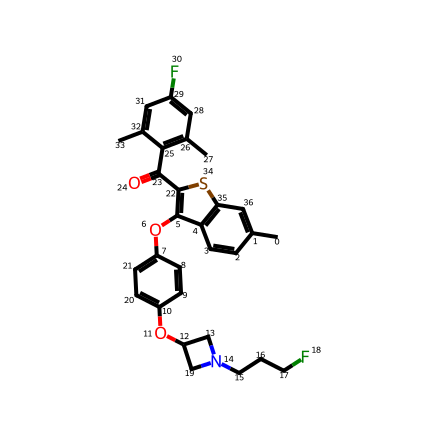 Cc1ccc2c(Oc3ccc(OC4CN(CCCF)C4)cc3)c(C(=O)c3c(C)cc(F)cc3C)sc2c1